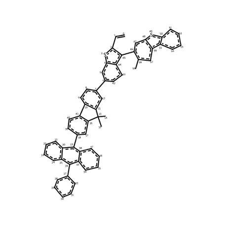 C=Cc1sc2cc(-c3ccc4c(c3)C(C)(C)c3cc(-c5c6ccccc6c(-c6ccccc6)c6ccccc56)ccc3-4)ccc2c1-c1cc2sc3ccccc3c2cc1C